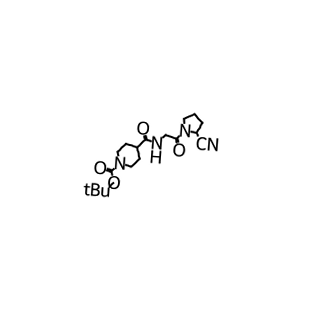 CC(C)(C)OC(=O)N1CCC(C(=O)NCC(=O)N2CCCC2C#N)CC1